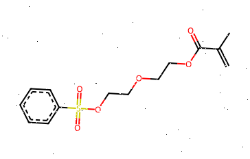 C=C(C)C(=O)OCCOCCOS(=O)(=O)c1ccccc1